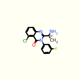 C[C@H](N)c1nc2cccc(Cl)c2c(=O)n1-c1cccc(F)c1